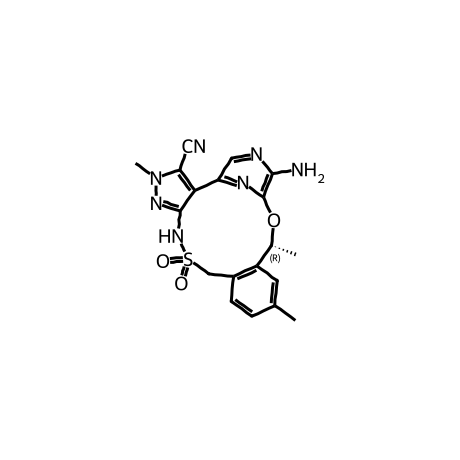 Cc1ccc2c(c1)[C@@H](C)Oc1nc(cnc1N)-c1c(nn(C)c1C#N)NS(=O)(=O)C2